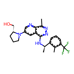 Cc1c([C@@H](C)Nc2nnc(C)c3ncc(N4CCC[C@@H]4CO)cc23)cccc1C(F)(F)F